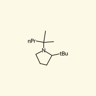 CCCC(C)(C)N1CCCC1C(C)(C)C